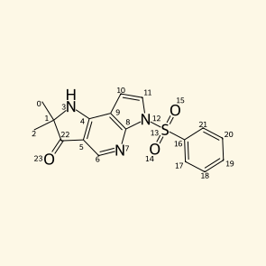 CC1(C)Nc2c(cnc3c2ccn3S(=O)(=O)c2ccccc2)C1=O